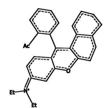 CC[N+](CC)=c1ccc2c(-c3ccccc3C(C)=O)c3c(ccc4ccccc43)oc-2c1